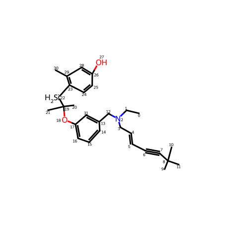 CCN(CC=CC#CC(C)(C)C)Cc1cccc(OC(C)(C)[SiH2]c2ccc(O)cc2C)c1